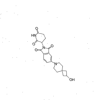 O=C1CCC(N2C(=O)c3ccc(N4CCC5(CC4)CC(O)C5)cc3C2=O)C(=O)N1